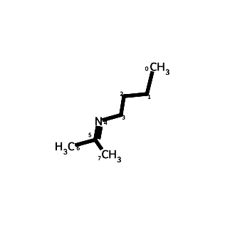 CCCCN=C(C)C